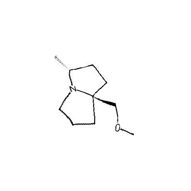 COC[C@@]12CCCN1[C@H](C)CC2